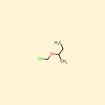 CCC(C)OCCl